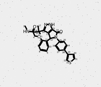 CNC(=O)COc1ccccc1C1c2c(C(C)(C)C)n[nH]c2C(=O)N1c1ccc(-c2ccsc2)cc1